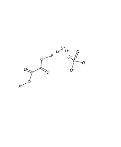 O=C(OF)C(=O)OF.O=P([O-])([O-])[O-].[Li+].[Li+].[Li+]